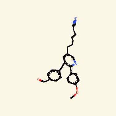 COc1ccc(-c2ncc(CCCCC#N)cc2-c2ccc(C=O)cc2)cc1